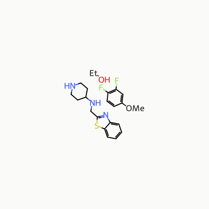 CCO.COc1ccc(F)c(F)c1.c1ccc2sc(CNC3CCNCC3)nc2c1